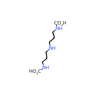 O=C(O)NCCCNCCCNC(=O)O